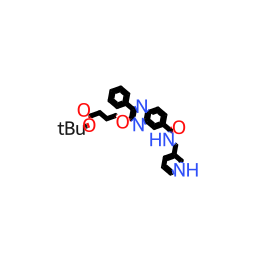 CC(C)(C)OC(=O)CCCOc1nc2cc(C(=O)NCC3=CC=CNC3)ccc2nc1-c1ccccc1